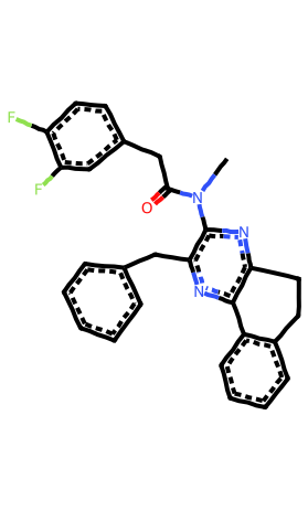 CN(C(=O)Cc1ccc(F)c(F)c1)c1nc2c(nc1Cc1ccccc1)-c1ccccc1CC2